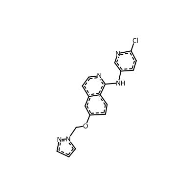 Clc1ccc(Nc2nccc3cc(OCn4cccn4)ccc23)cn1